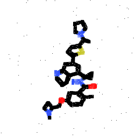 Cc1ccc(OCC2CCN2C)cc1C(=O)NC1(c2cc(-c3ccc(C(C)N4CCCC4)s3)cc3ncccc23)CC1